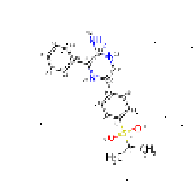 CC(C)S(=O)(=O)c1ccc(-c2cnc(N)c(-c3ccccc3)n2)cc1